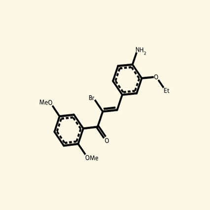 CCOc1cc(C=C(Br)C(=O)c2cc(OC)ccc2OC)ccc1N